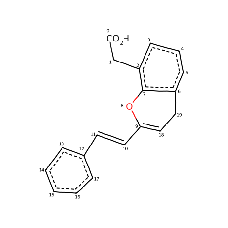 O=C(O)Cc1cccc2c1OC(C=Cc1ccccc1)=CC2